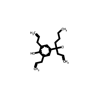 C=CCc1cc(C(Cl)(CC=C)CCCC)cc(CC=C)c1O